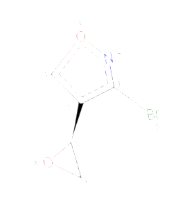 Brc1nocc1[C@H]1CO1